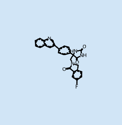 O=C1NC(=O)C(CN2Cc3ccc(F)cc3C2=O)(c2ccc(-c3cnc4ccccc4c3)cc2)N1